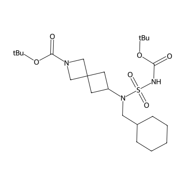 CC(C)(C)OC(=O)NS(=O)(=O)N(CC1CCCCC1)C1CC2(C1)CN(C(=O)OC(C)(C)C)C2